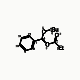 CCC(=O)OC(OC(C)(C)C)c1ccccc1